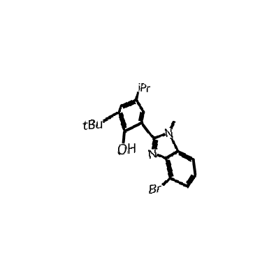 CC(C)c1cc(-c2nc3c(Br)cccc3n2C)c(O)c(C(C)(C)C)c1